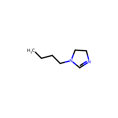 CCCCN1[C]=NCC1